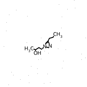 CCCc1cn(CCC(C)O)cn1